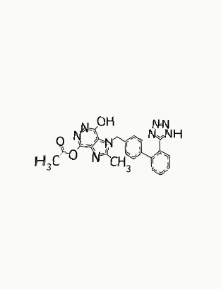 CC(=O)Oc1nnc(O)c2c1nc(C)n2Cc1ccc(-c2ccccc2-c2nnn[nH]2)cc1